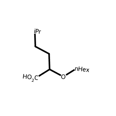 CCCCCCOC(CCC(C)C)C(=O)O